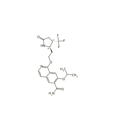 CC(C)Oc1cc2c(OCC[C@H]3NC(=O)C[C@@H]3C(F)(F)F)nccc2cc1C(N)=O